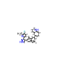 C=C1\C=C/C(c2c[nH]nc2-c2ccc(F)c(C)n2)=C/C=C/C1=C/C(=C\C)C1=C/CC=C=C2NCCC=C2C\1